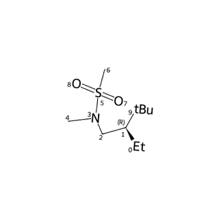 CC[C@@H](CN(C)S(C)(=O)=O)C(C)(C)C